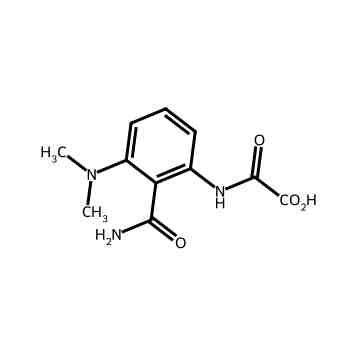 CN(C)c1cccc(NC(=O)C(=O)O)c1C(N)=O